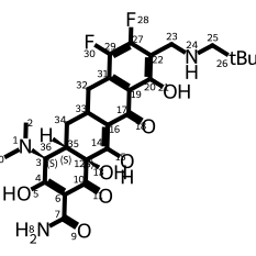 CN(C)[C@@H]1C(O)=C(C(N)=O)C(=O)[C@@]2(O)C(O)=C3C(=O)c4c(O)c(CNCC(C)(C)C)c(F)c(F)c4CC3C[C@@H]12